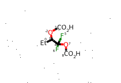 CCC(OC(=O)O)C(F)(F)OC(=O)O